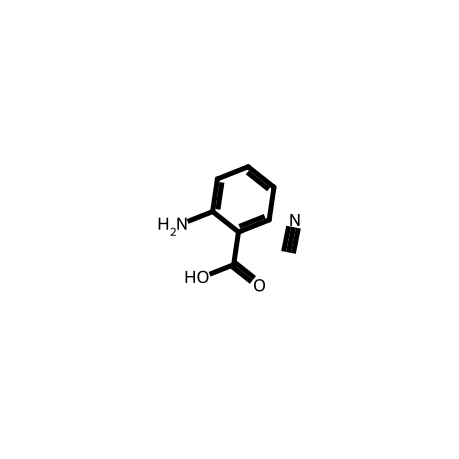 C#N.Nc1ccccc1C(=O)O